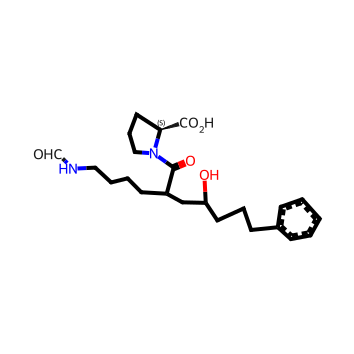 O=CNCCCCC(CC(O)CCCc1ccccc1)C(=O)N1CCC[C@H]1C(=O)O